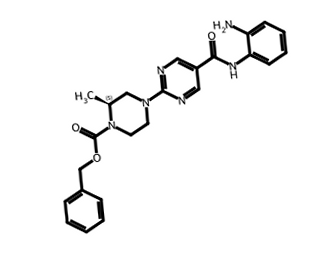 C[C@H]1CN(c2ncc(C(=O)Nc3ccccc3N)cn2)CCN1C(=O)OCc1ccccc1